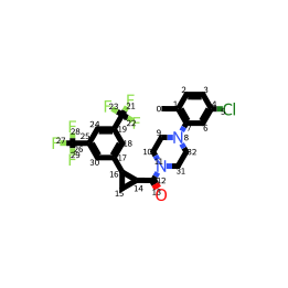 Cc1ccc(Cl)cc1N1CCN(C(=O)C2CC2c2cc(C(F)(F)F)cc(C(F)(F)F)c2)CC1